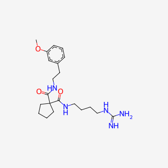 COc1cccc(CCNC(=O)C2(C(=O)NCCCCNC(=N)N)CCCC2)c1